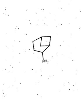 NC1CCC2CC1C2